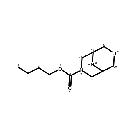 CCCCOC(=O)N1CC2COCC(C1)N2